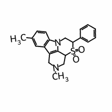 Cc1ccc2c(c1)c1c3n2CC(c2ccccc2)S(=O)(=O)C3CN(C)C1